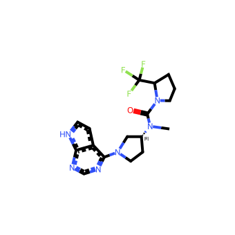 CN(C(=O)N1CCCC1C(F)(F)F)[C@@H]1CCN(c2ncnc3[nH]ccc23)C1